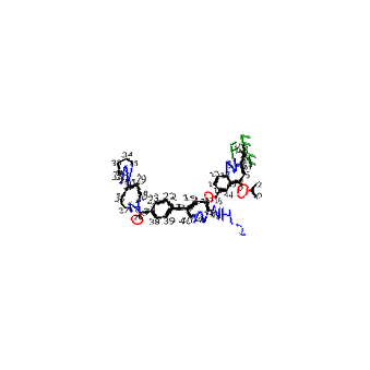 CC(C)Oc1cc(C(F)(F)F)nc2ccc(COc3cc(-c4ccc(C(=O)N5CCC(N6CCCC6)CC5)cc4)cnc3N)cc12